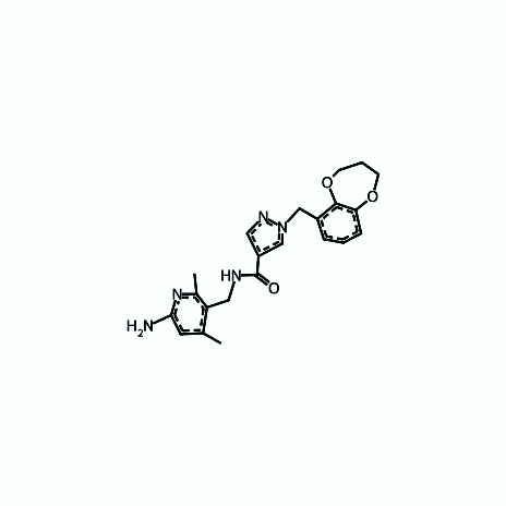 Cc1cc(N)nc(C)c1CNC(=O)c1cnn(Cc2cccc3c2OCCCO3)c1